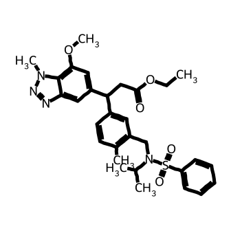 CCOC(=O)CC(c1ccc(C)c(CN(C(C)C)S(=O)(=O)c2ccccc2)c1)c1cc(OC)c2c(c1)nnn2C